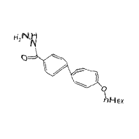 CCCCCCOc1ccc(-c2ccc(C(=O)NN)cc2)cc1